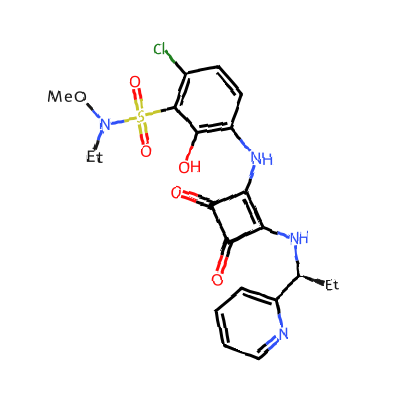 CC[C@H](Nc1c(Nc2ccc(Cl)c(S(=O)(=O)N(CC)OC)c2O)c(=O)c1=O)c1ccccn1